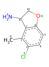 Cc1c(Cl)ccc2c1C(N)CO2